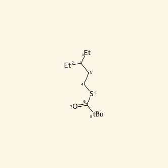 CCC(CC)CCSC(=O)C(C)(C)C